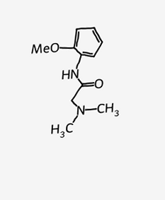 COc1ccccc1NC(=O)CN(C)C